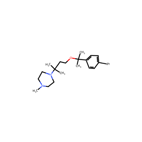 CC(C)c1ccc(C(C)(C)OCCC(C)(C)N2CCN(C)CC2)cc1